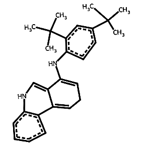 CC(C)(C)c1ccc(NC2=CCC=C3C2=CNc2ccccc23)c(C(C)(C)C)c1